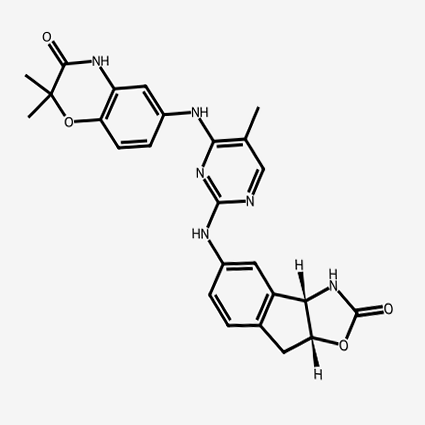 Cc1cnc(Nc2ccc3c(c2)[C@@H]2NC(=O)O[C@@H]2C3)nc1Nc1ccc2c(c1)NC(=O)C(C)(C)O2